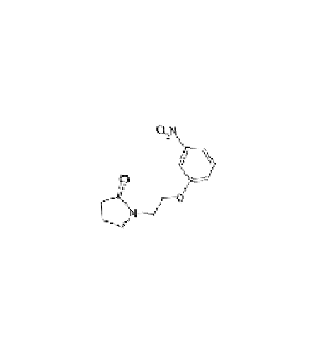 O=C1CCCN1CCOc1cccc([N+](=O)[O-])c1